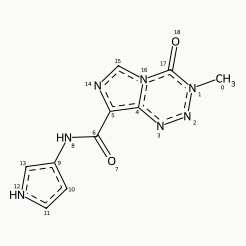 Cn1nnc2c(C(=O)Nc3cc[nH]c3)ncn2c1=O